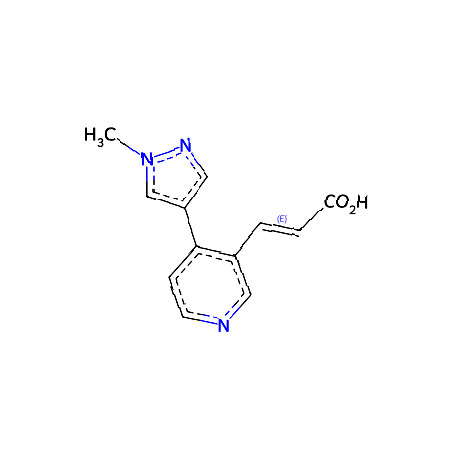 Cn1cc(-c2ccncc2/C=C/C(=O)O)cn1